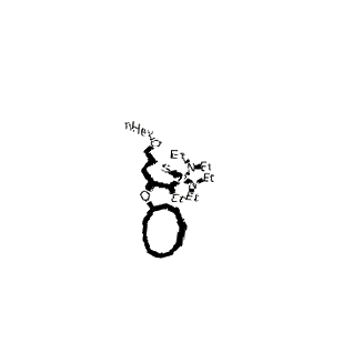 CCCCCCOCCCC(OC1CCCCCCCCC1)C(CC)P(=S)(N(CC)CC)N(CC)CC